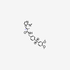 C=Nc1nccn1/C=C(\C)C(=O)NCc1ccc(S(=O)(=O)c2ccc(OC)c(OC)c2)cc1